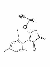 Cc1cc(C)c(C2=C(OC(=O)C(C)(C)C)CN(C)C2=O)c(C)c1